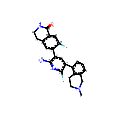 CN1CCc2c(cccc2-c2cc(-c3cc4c(cc3F)C(=O)NCC4)c(N)nc2F)C1